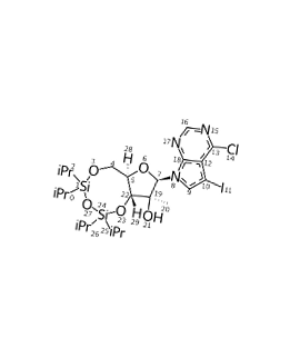 CC(C)[Si]1(C(C)C)OC[C@H]2O[C@@H](n3cc(I)c4c(Cl)ncnc43)[C@@](C)(O)[C@@H]2O[Si](C(C)C)(C(C)C)O1